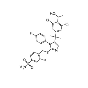 CC(O)c1c(Cl)cc(C(C)(C)c2cnc(SCc3ccc(S(N)(=O)=O)cc3F)n2-c2ccc(F)cc2)cc1Cl